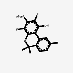 CCCCCc1c(F)c(O)c2c(c1F)OC(C)(C)c1ccc(C)cc1-2